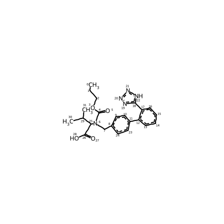 CCCOC(=O)N(Cc1ccc(-c2ccccc2-c2nnn[nH]2)cc1)C(C(=O)O)C(C)C